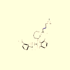 Cc1cccc2nc(NC(=O)c3cccc(Cl)c3)n(C3CCCCN(C(=O)/C=C/CN(C)C)C3)c12